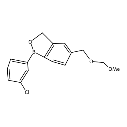 COCOCc1ccc2c(c1)COB2c1cccc(Cl)c1